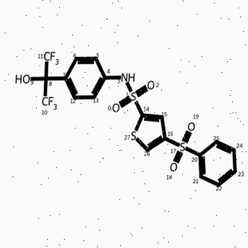 O=S(=O)(Nc1ccc(C(O)(C(F)(F)F)C(F)(F)F)cc1)c1cc(S(=O)(=O)c2ccccc2)cs1